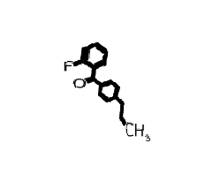 CCCc1ccc(C(=O)c2ccccc2F)cc1